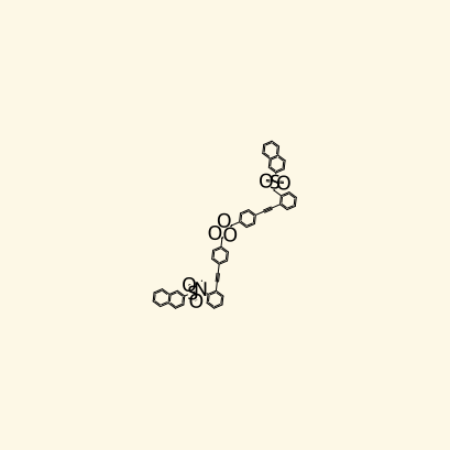 CN(c1ccccc1C#Cc1ccc(C(=O)OC(=O)c2ccc(C#Cc3ccccc3CS(=O)(=O)c3ccc4ccccc4c3)cc2)cc1)S(=O)(=O)c1ccc2ccccc2c1